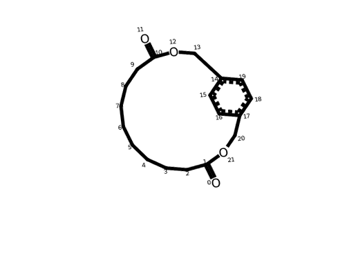 O=C1CCCCCCCCC(=O)OCc2ccc(cc2)CO1